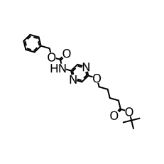 CC(C)(C)OC(=O)CCCCOc1cnc(NC(=O)OCc2ccccc2)cn1